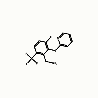 NCc1c(C(F)(F)F)ccc(Cl)c1Sc1ccccn1